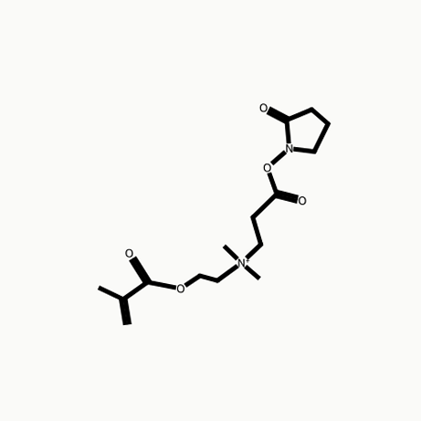 C=C(C)C(=O)OCC[N+](C)(C)CCC(=O)ON1CCCC1=O